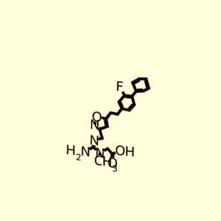 CN(CC(=O)O)C(N)=NCc1cc(CCc2ccc(-c3ccccc3)c(F)c2)on1